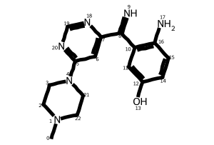 CN1CCN(c2cc(C(=N)c3cc(O)ccc3N)ncn2)CC1